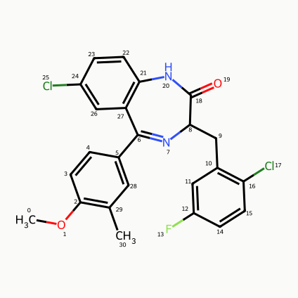 COc1ccc(C2=NC(Cc3cc(F)ccc3Cl)C(=O)Nc3ccc(Cl)cc32)cc1C